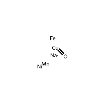 [Fe].[Mn].[Na].[Ni].[O]=[Cu]